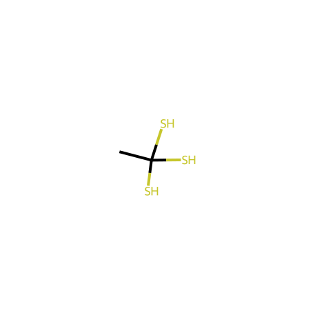 CC(S)(S)S